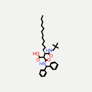 CCCCCCCCCCCC[C@@H](C(=O)NCC(C)(C)C)C(C(=O)O)C(=O)NC(c1ccccc1)c1ccccc1